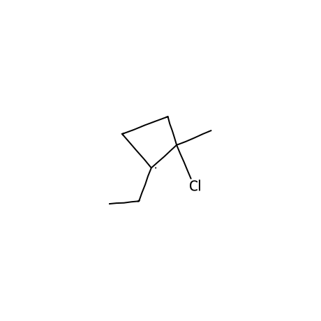 CC[C]1CCC1(C)Cl